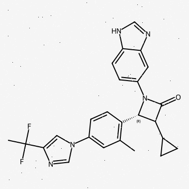 Cc1cc(-n2cnc(C(C)(F)F)c2)ccc1[C@H]1C(C2CC2)C(=O)N1c1ccc2[nH]cnc2c1